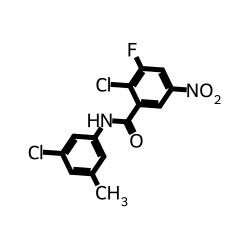 Cc1cc(Cl)cc(NC(=O)c2cc([N+](=O)[O-])cc(F)c2Cl)c1